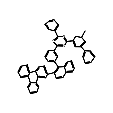 CC1C=C(c2ccccc2)C=C(c2nc(-c3ccccc3)nc(-c3cccc(-c4c(-c5ccc6c7ccccc7c7ccccc7c6c5)ccc5ccccc45)c3)n2)C1